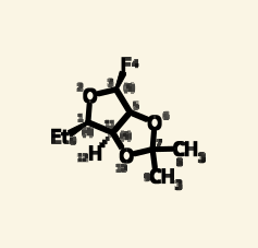 CC[C@H]1O[C@@H](F)C2OC(C)(C)O[C@H]21